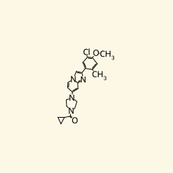 COc1cc(C)c(-c2cn3ccc(N4CCN(C(=O)C5CC5)CC4)cc3n2)cc1Cl